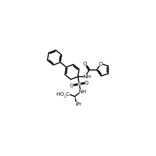 CC(C)[C@H](NS(=O)(=O)C1(NC(=O)c2ccco2)C=CC(c2ccccc2)=CC1)C(=O)O